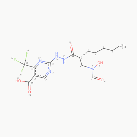 CCCCC[C@H](CN(O)C=O)C(=O)NNc1ncc(C(=O)O)c(C(F)(F)F)n1